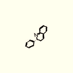 C1=c2ccccc2=N[C@@H](c2ccccc2)C1